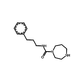 O=C(N[CH]CCc1ccccc1)N1CCCNCC1